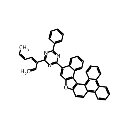 C=C/C(=C\C=C/C)c1nc(-c2ccccc2)nc(-c2cc3oc4ccc5c6ccccc6c6ccccc6c5c4c3c3ccccc23)n1